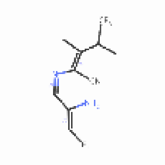 CC/C=C(N)/C=N\C(C#N)=C(/C)C(C)C(F)(F)F